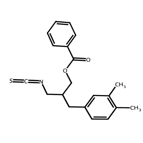 Cc1ccc(CC(CN=C=S)COC(=O)c2ccccc2)cc1C